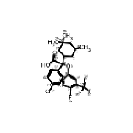 CC1CC(C(Oc2ccc(F)c(C(F)(F)F)c2)(C(=O)O)c2ccc(Cl)cc2)CC(C)(C)C1